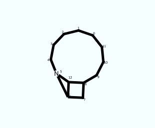 C1CCCCN2C3CC(CCC1)C32